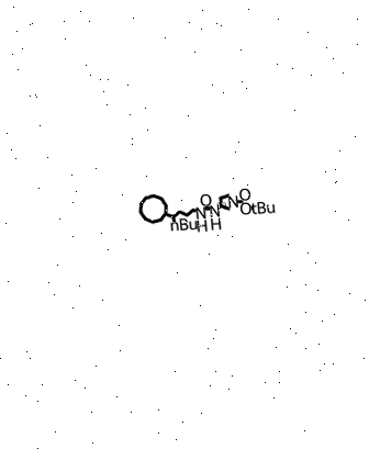 CCCCC(CCCNC(=O)N[C@@H]1CCN(C(=O)OC(C)(C)C)C1)C1CCCCCCCCC1